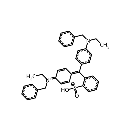 CCN(Cc1ccccc1)c1ccc(C(=C2C=CC(=[N+](CC)Cc3ccccc3)C=C2)c2ccccc2S(=O)(=O)O)cc1